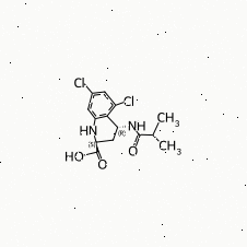 CC(C)C(=O)N[C@@H]1C[C@@H](C(=O)O)Nc2cc(Cl)cc(Cl)c21